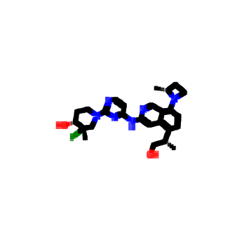 C[C@H](CO)c1ccc(N2CC[C@H]2C)c2cnc(Nc3ccnc(N4CC[C@@H](O)[C@@](C)(F)C4)n3)cc12